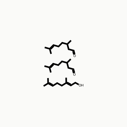 CC(C)=CCC/C(C)=C/CO.CC(C)=CCCC(C)CC=O.CC(C)=CCCC(C)CC=O